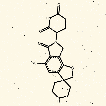 N#Cc1cc2c(c3c1C(=O)N(C1CCC(=O)NC1=O)C3)OCC21CCNCC1